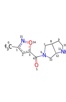 Cc1cc(C(=O)N2CC3CCNC3C2)on1